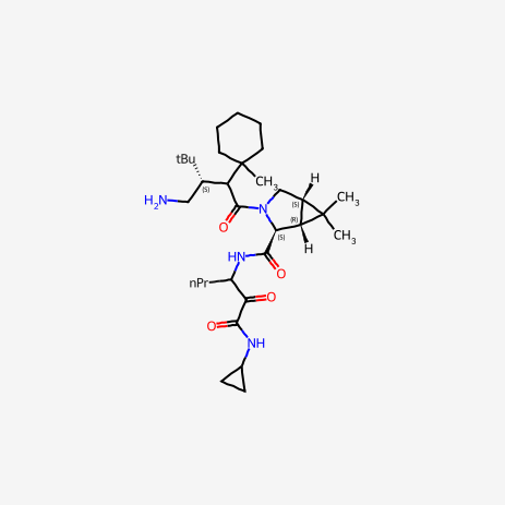 CCCC(NC(=O)[C@@H]1[C@@H]2[C@H](CN1C(=O)C([C@H](CN)C(C)(C)C)C1(C)CCCCC1)C2(C)C)C(=O)C(=O)NC1CC1